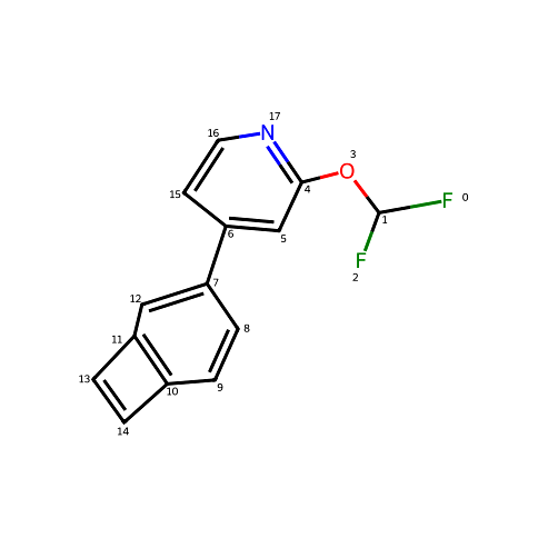 FC(F)Oc1cc(-c2ccc3c(c2)C=C3)ccn1